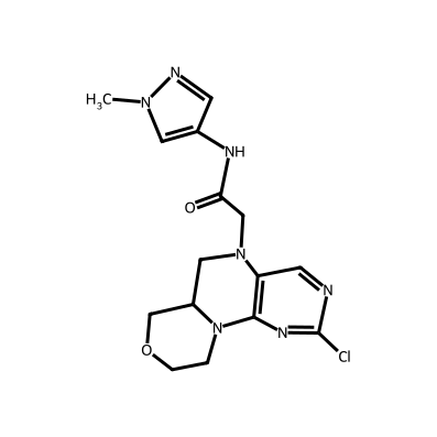 Cn1cc(NC(=O)CN2CC3COCCN3c3nc(Cl)ncc32)cn1